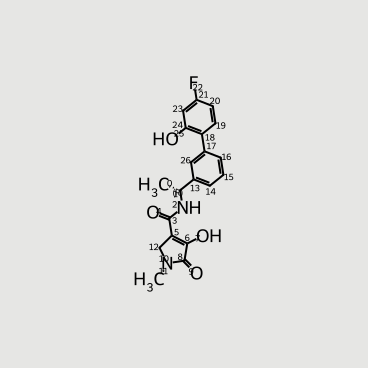 C[C@@H](NC(=O)C1=C(O)C(=O)N(C)C1)c1cccc(-c2ccc(F)cc2O)c1